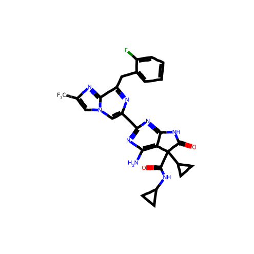 Nc1nc(-c2cn3cc(C(F)(F)F)nc3c(Cc3ccccc3F)n2)nc2c1C(C(=O)NC1CC1)(C1CC1)C(=O)N2